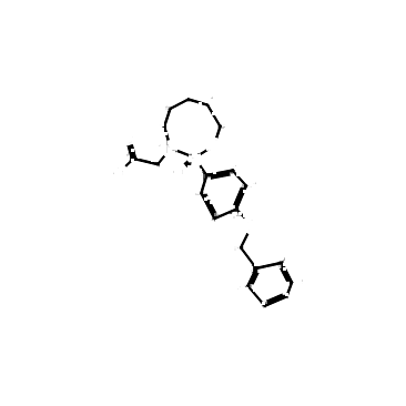 O=C(O)CN1CCCCCOP1(=O)c1ccc(OCc2ccccc2)cc1